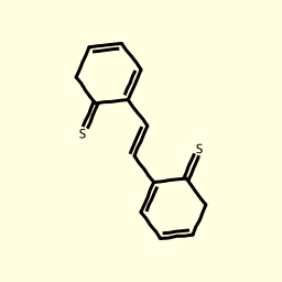 S=C1CC=CC=C1C=CC1=CC=CCC1=S